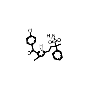 Cc1cc(CCC(C)(c2ccccc2)S(N)(=O)=O)[nH]c1C(=O)c1ccc(Cl)cc1